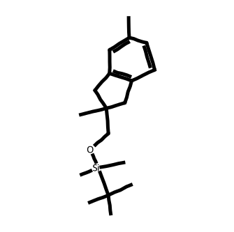 Cc1ccc2c(c1)CC(C)(CO[Si](C)(C)C(C)(C)C)C2